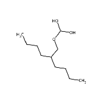 CCCCC(CCCC)COC(O)O